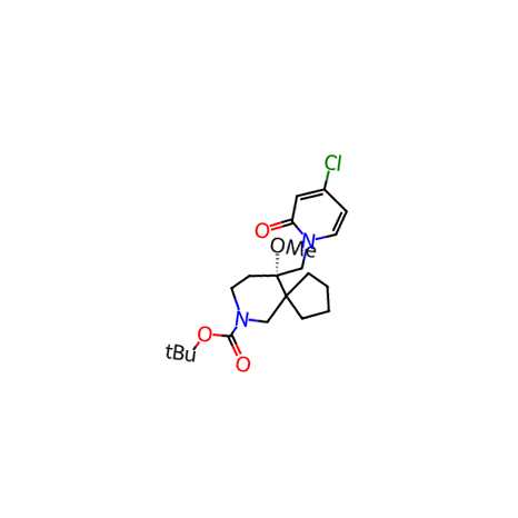 CO[C@@]1(Cn2ccc(Cl)cc2=O)CCN(C(=O)OC(C)(C)C)CC12CCCC2